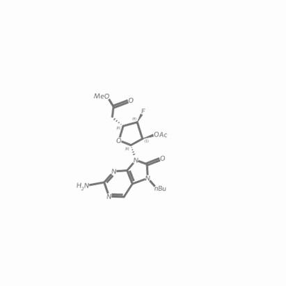 CCCCn1c(=O)n([C@@H]2O[C@H](CC(=O)OC)[C@@H](F)[C@H]2OC(C)=O)c2nc(N)ncc21